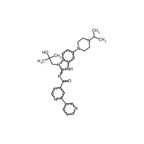 CC(C)N1CCN(c2ccc3c(c2)[nH]/c(=N\C(=O)c2ccnc(-c4cccnc4)c2)n3CC(C)(C)O)CC1